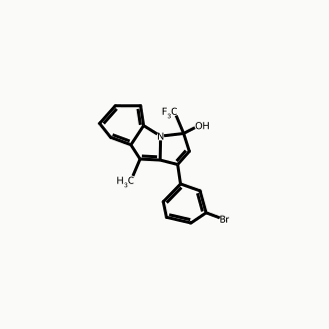 Cc1c2n(c3ccccc13)C(O)(C(F)(F)F)C=C2c1cccc(Br)c1